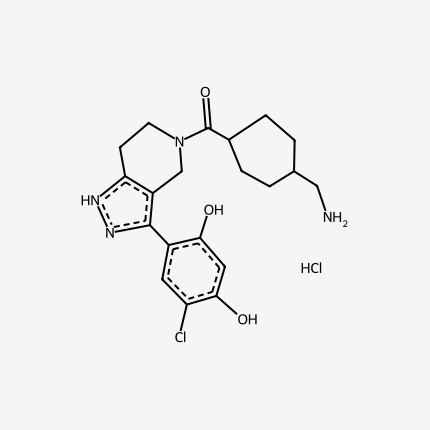 Cl.NCC1CCC(C(=O)N2CCc3[nH]nc(-c4cc(Cl)c(O)cc4O)c3C2)CC1